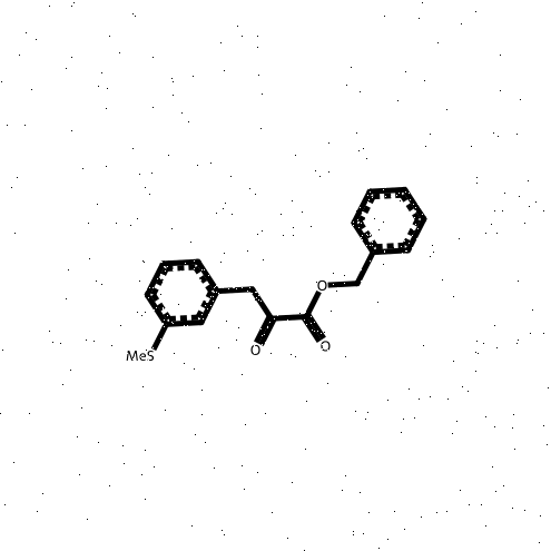 CSc1cccc(CC(=O)C(=O)OCc2ccccc2)c1